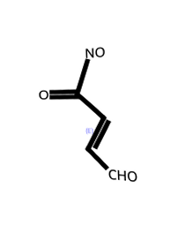 O=C/C=C/C(=O)N=O